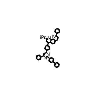 CC(C)c1cc(-c2ccc(-c3cc(-c4ccccc4)nc(-c4ccc(-c5ccccc5)cc4)n3)cc2)c2ccc3ccc(-c4ccccc4)nc3c2n1